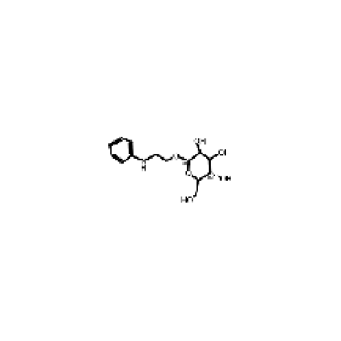 OCC1O[C@@H](OCCNc2ccccc2)C(O)C(O)[C@@H]1O